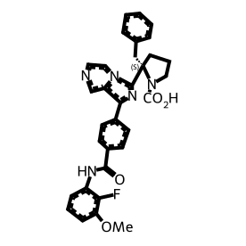 COc1cccc(NC(=O)c2ccc(-c3nc([C@@]4(Cc5ccccc5)CCCN4C(=O)O)n4ccncc34)cc2)c1F